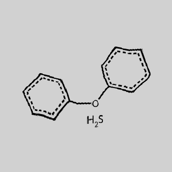 S.c1ccc(Oc2ccccc2)cc1